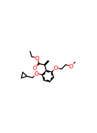 C=C(C(=O)OCC)c1c(OCCOC)cccc1OCC1CC1